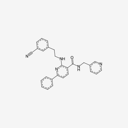 N#Cc1cccc(CCNc2nc(-c3ccccc3)ccc2C(=O)NCc2cccnc2)c1